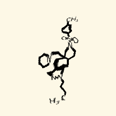 CCCCn1ncc2c1C=C1CCN(S(=O)(=O)c3ccc(C)cc3)CC1(CN1CCCCC1)C2